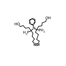 OCCCCC(P)(CCCCO)N(c1ccccc1)C(P)(CCCCO)CCCCO